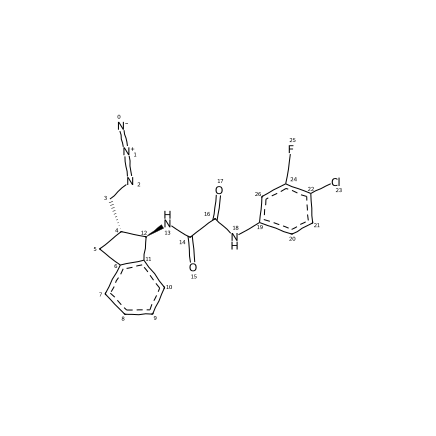 [N-]=[N+]=NC[C@H]1Cc2ccccc2[C@@H]1NC(=O)C(=O)Nc1ccc(Cl)c(F)c1